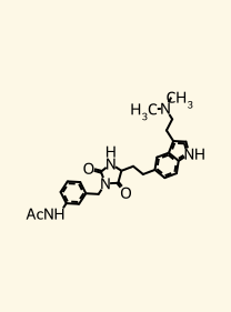 CC(=O)Nc1cccc(CN2C(=O)NC(CCc3ccc4[nH]cc(CCN(C)C)c4c3)C2=O)c1